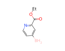 Bc1ccnc(C(=O)OCC)c1